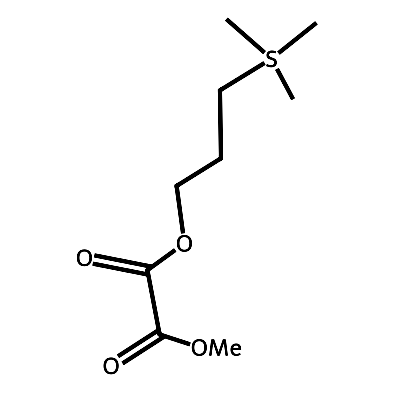 COC(=O)C(=O)OCCCS(C)(C)C